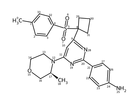 Cc1ccc(S(=O)(=O)C2(c3cc(N4CCOC[C@@H]4C)nc(-c4ccc(N)cc4)n3)CCC2)cc1